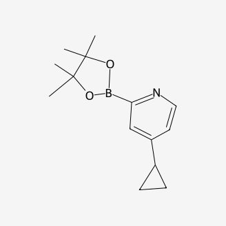 CC1(C)OB(c2cc(C3CC3)ccn2)OC1(C)C